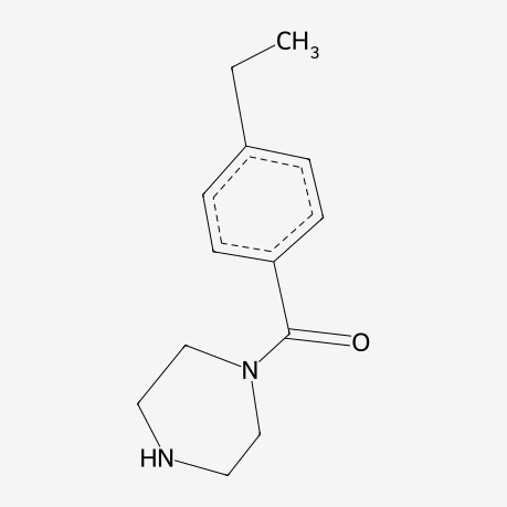 CCc1ccc(C(=O)N2CCNCC2)cc1